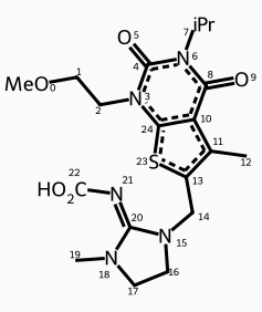 COCCn1c(=O)n(C(C)C)c(=O)c2c(C)c(CN3CCN(C)C3=NC(=O)O)sc21